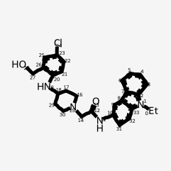 CCn1c2ccccc2c2cc(NC(=O)CN3CCC(Nc4ccc(Cl)cc4CO)CC3)ccc21